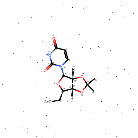 CC(=O)OC[C@H]1O[C@@H](n2ccc(=O)[nH]c2=O)[C@@H]2OC(C)(C)O[C@@H]21